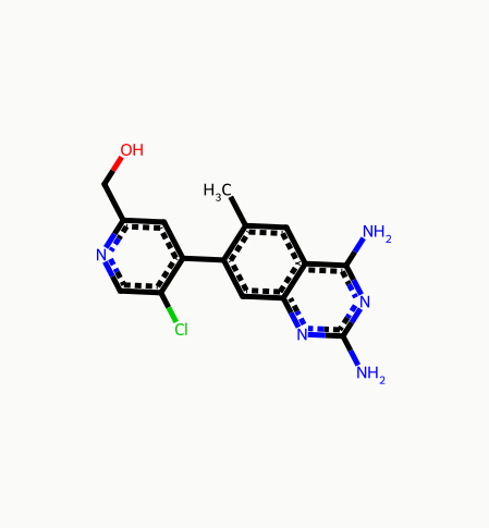 Cc1cc2c(N)nc(N)nc2cc1-c1cc(CO)ncc1Cl